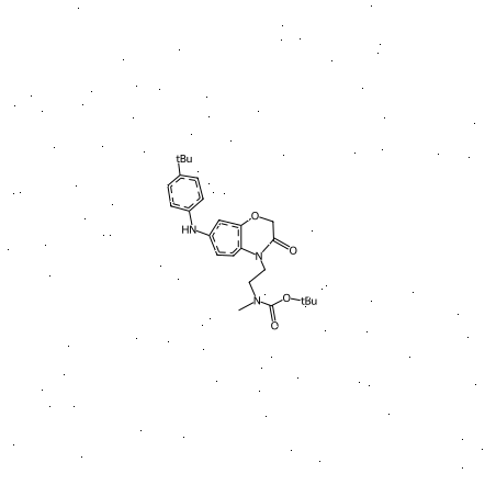 CN(CCN1C(=O)COc2cc(Nc3ccc(C(C)(C)C)cc3)ccc21)C(=O)OC(C)(C)C